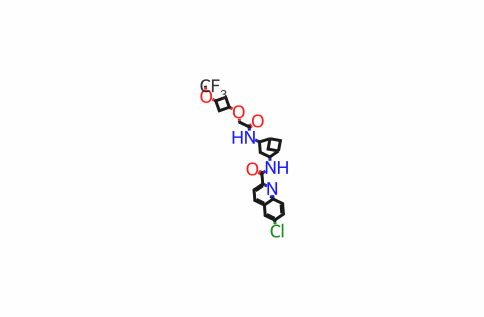 O=C(COC1CC(OC(F)(F)F)C1)NC1CC(NC(=O)c2ccc3cc(Cl)ccc3n2)C2CC1C2